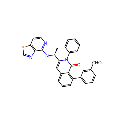 C[C@H](Nc1nccc2scnc12)c1cc2cccc(-c3cccc(C=O)c3)c2c(=O)n1-c1ccccc1